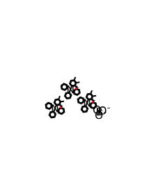 Cc1ccc([N+](c2ccccc2)(c2ccccc2)c2ccccc2)c(C)c1C.Cc1ccc([N+](c2ccccc2)(c2ccccc2)c2ccccc2)c(C)c1C.Cc1ccc([N+](c2ccccc2)(c2ccccc2)c2ccccc2)c(C)c1C.[O-]B([O-])[O-]